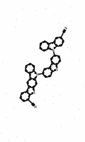 N#Cc1ccc2c(c1)c1ccccc1n2-c1ccc2sc3ccc(-n4c5ccccc5c5cc6c(cc54)sc4c(C#N)cccc46)cc3c2c1